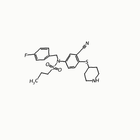 CCCS(=O)(=O)N(Cc1ccc(F)cc1)c1ccc(SC2CCNCC2)c(C#N)c1